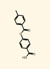 Cc1ccc(C(=O)Oc2ccc(C(=O)O)cc2)cc1